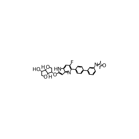 CS(C)(=O)=Nc1cccc(-c2ccc(-c3nc4cc(O[C@@H]5CO[C@H]6[C@@H]5OC[C@H]6O)[nH]c4cc3F)cc2)c1